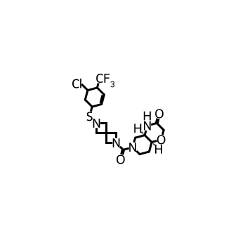 O=C1CO[C@H]2CCN(C(=O)N3CC4(CN(SC5C=CC(C(F)(F)F)C(Cl)C5)C4)C3)C[C@H]2N1